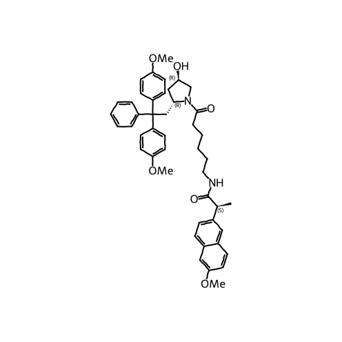 COc1ccc(C(C[C@@H]2C[C@@H](O)CN2C(=O)CCCCCNC(=O)[C@@H](C)c2ccc3cc(OC)ccc3c2)(c2ccccc2)c2ccc(OC)cc2)cc1